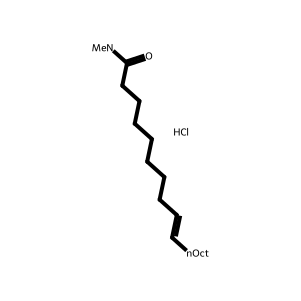 CCCCCCCCC=CCCCCCCCC(=O)NC.Cl